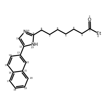 CCC(=O)CCCCC[CH]c1ncc(-c2ccc3ccccc3c2)[nH]1